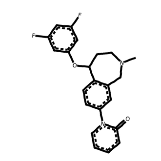 CN1CCC(Oc2cc(F)cc(F)c2)c2ccc(-n3ccccc3=O)cc2C1